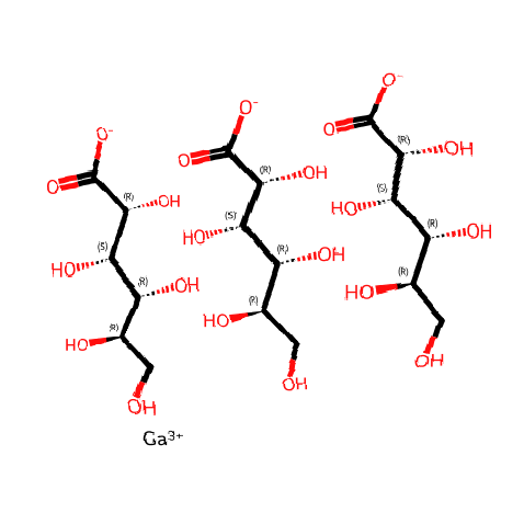 O=C([O-])[C@H](O)[C@@H](O)[C@H](O)[C@H](O)CO.O=C([O-])[C@H](O)[C@@H](O)[C@H](O)[C@H](O)CO.O=C([O-])[C@H](O)[C@@H](O)[C@H](O)[C@H](O)CO.[Ga+3]